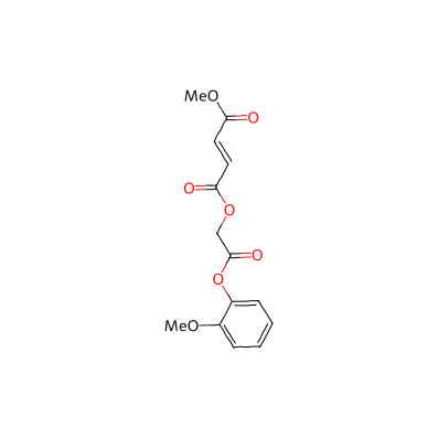 COC(=O)C=CC(=O)OCC(=O)Oc1ccccc1OC